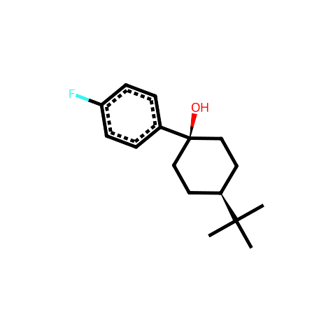 CC(C)(C)[C@H]1CC[C@](O)(c2ccc(F)cc2)CC1